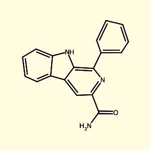 NC(=O)c1cc2c([nH]c3ccccc32)c(-c2ccccc2)n1